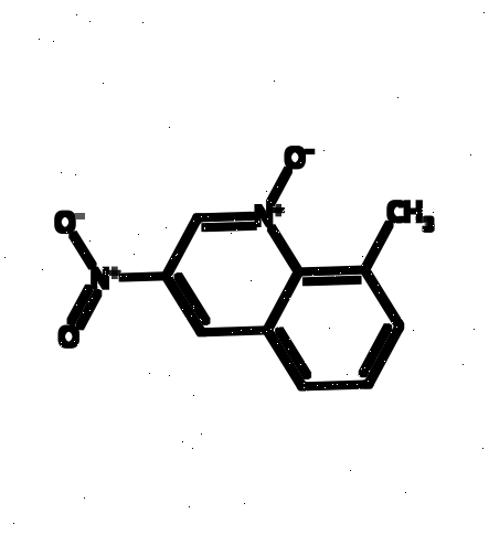 Cc1cccc2cc([N+](=O)[O-])c[n+]([O-])c12